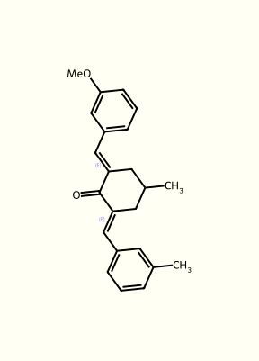 COc1cccc(/C=C2\CC(C)C/C(=C\c3cccc(C)c3)C2=O)c1